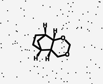 C1OC[C@@H]2[C@@H]3CC[C@@H](C3)[C@@H]2O1